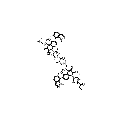 C=CC(=O)N1C[C@H](C)N(c2c(C(F)(F)F)c(=O)n3c4c(c(-c5c(C)ccc6cnn(C)c56)ccc24)OC[C@H]3CN(C)CC(=C)C(=O)N2C[C@H](C)N(c3c(C(F)(F)F)c(=O)n4c5c(c(-c6c(C)ccc7cnn(C)c67)ccc35)OC[C@@H]4CN(C)C)C[C@H]2C)C[C@H]1C